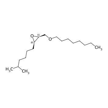 CCCCCCCCOC[C@@H]1O[C@@H]1CCCCC(C)C